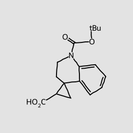 CC(C)(C)OC(=O)N1CCC2(CC2C(=O)O)c2ccccc21